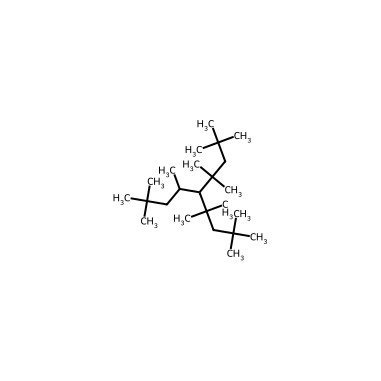 CC(CC(C)(C)C)[C](C(C)(C)CC(C)(C)C)C(C)(C)CC(C)(C)C